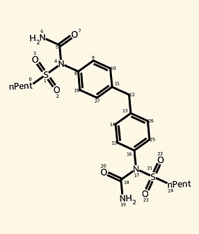 CCCCCS(=O)(=O)N(C(N)=O)c1ccc(Cc2ccc(N(C(N)=O)S(=O)(=O)CCCCC)cc2)cc1